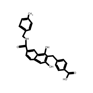 Cc1ccc(CNC(=O)c2ccc3cc(O)c(Cc4ccc(C(=O)O)cc4)c(O)c3c2)cc1